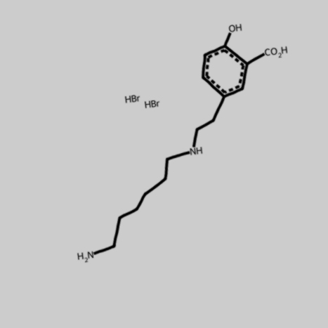 Br.Br.NCCCCCCNCCc1ccc(O)c(C(=O)O)c1